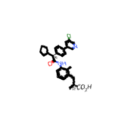 Cc1c(C[C@H](C)C(=O)O)cccc1NC(=O)[C@@H](c1ccc(-c2cncc(Cl)c2)cc1)C1CCCC1